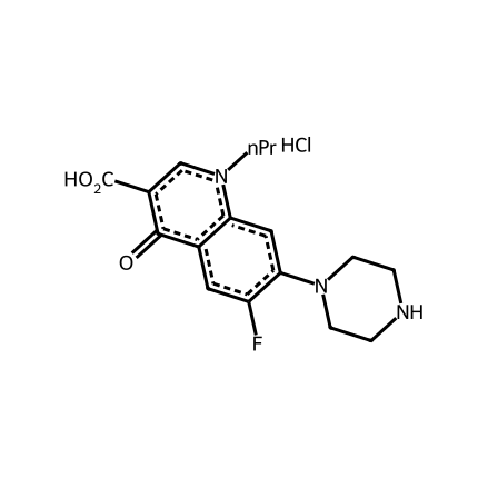 CCCn1cc(C(=O)O)c(=O)c2cc(F)c(N3CCNCC3)cc21.Cl